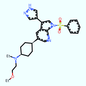 CCOCCN(CC)[C@H]1CC[C@@H](c2cnc3c(c2)c(-c2cn[nH]c2)cn3S(=O)(=O)c2ccccc2)CC1